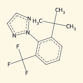 CC(C)(C)c1cccc(C(F)(F)F)c1-n1nccn1